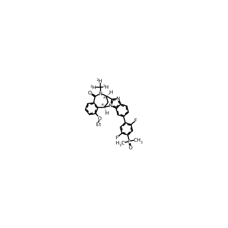 [2H]C([2H])([2H])N1C(=O)c2cccc(OCC)c2[C@H]2C[C@@H]1c1nc3ccc(-c4cc(F)c(P(C)(C)=O)cc4F)cc3n12